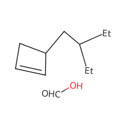 CCC(CC)CC1C=CC1.O=CO